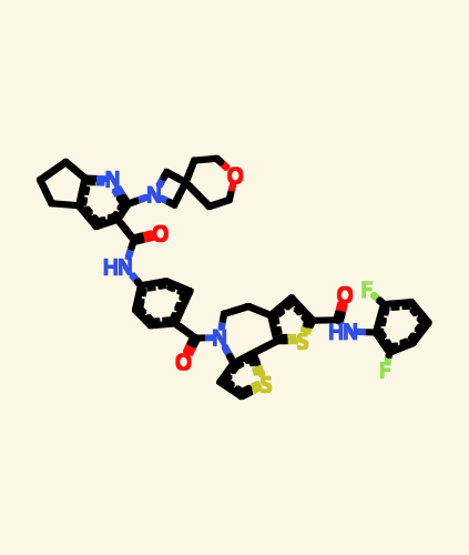 O=C(Nc1c(F)cccc1F)c1cc2c(s1)-c1sccc1N(C(=O)c1ccc(NC(=O)c3cc4c(nc3N3CC5(CCOCC5)C3)CCC4)cc1)CC2